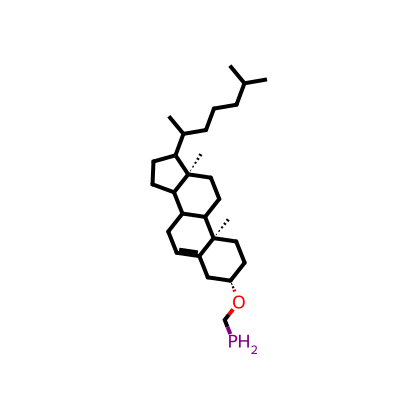 CC(C)CCCC(C)C1CCC2C3CC=C4C[C@@H](OCP)CC[C@]4(C)C3CC[C@]12C